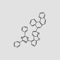 c1ccc(-c2nc(-c3ccccc3)nc(-c3cccc4oc5nc(-c6cc7ccc8ccccc8c7c7ccccc67)ccc5c34)n2)cc1